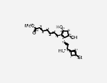 CCC1CC([C@H](O)/C=C/[C@@H]2[C@@H](CCCCCCC(=O)OC)[C@H](O)C[C@H]2O)C1